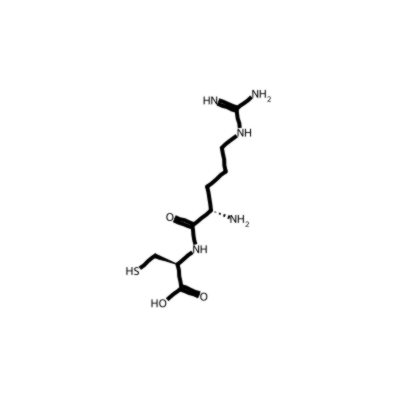 N=C(N)NCCC[C@H](N)C(=O)N[C@H](CS)C(=O)O